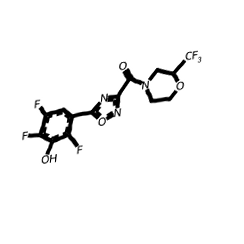 O=C(c1noc(-c2cc(F)c(F)c(O)c2F)n1)N1CCOC(C(F)(F)F)C1